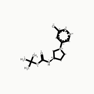 CC(C)(C)OC(=O)N[C@@H]1CCN(c2cnnc(Cl)c2)C1